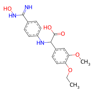 CCOc1ccc(C(Nc2ccc(C(=N)NO)cc2)C(=O)O)cc1OC